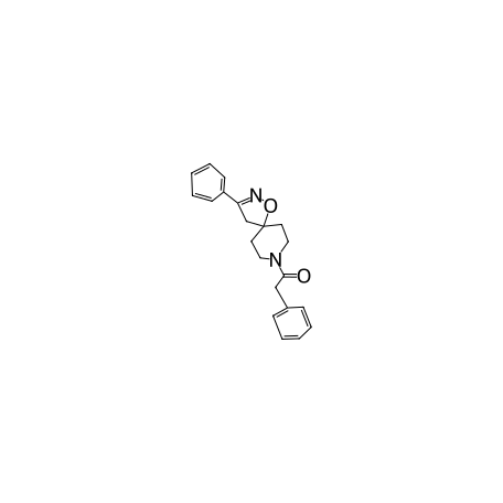 O=C(Cc1ccccc1)N1CCC2(CC1)CC(c1ccccc1)=NO2